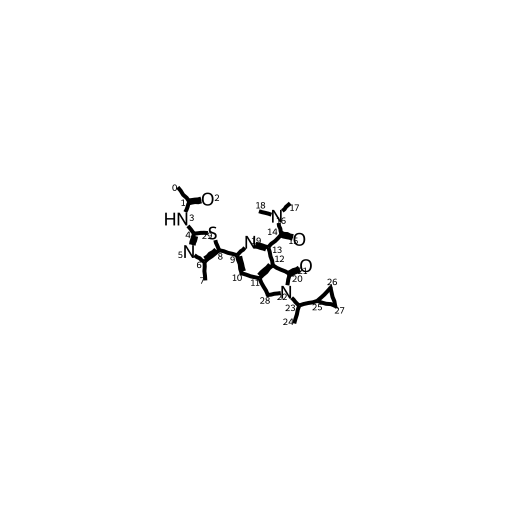 CC(=O)Nc1nc(C)c(-c2cc3c(c(C(=O)N(C)C)n2)C(=O)N(C(C)C2CC2)C3)s1